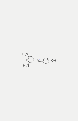 Nc1cc(/C=C/c2ccc(O)cc2)cc(N)n1